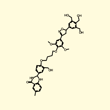 COc1cc(C2=NOC(c3cc(CO)c(CO)c(CO)c3)C2)cc(OC)c1OCCCCOc1ccc(C2NC(=O)c3cc(C)ccc3N2)cc1CO